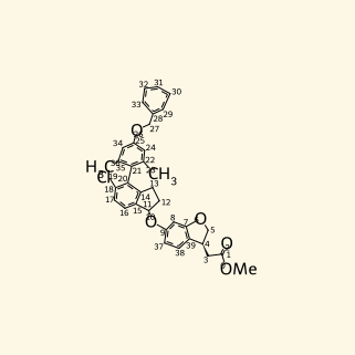 COC(=O)C[C@@H]1COc2cc(O[C@@H]3CCc4c3ccc(Cl)c4-c3c(C)cc(OCc4ccccc4)cc3C)ccc21